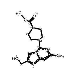 COc1cc2nc(CO)cn2c(N2CCN(C(=O)OC(C)(C)C)CC2)n1